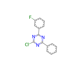 Fc1cccc(-c2nc(Cl)nc(-c3ccccc3)n2)c1